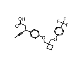 CC#CC(CC(=O)O)c1ccc(OCC2(COc3ccc(C(F)(F)F)cc3)CCC2)cc1